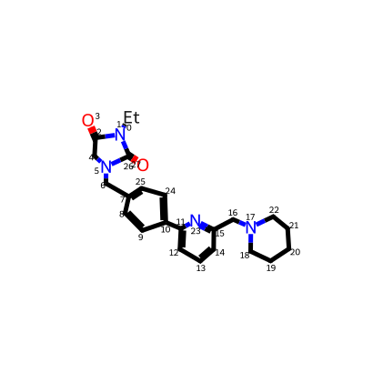 CCN1C(=O)CN(Cc2ccc(-c3cccc(CN4CCCCC4)n3)cc2)C1=O